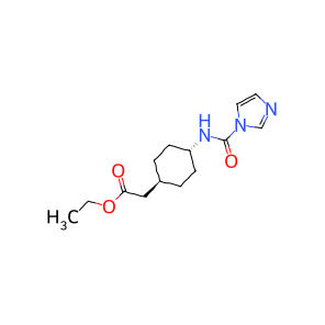 CCOC(=O)C[C@H]1CC[C@H](NC(=O)n2ccnc2)CC1